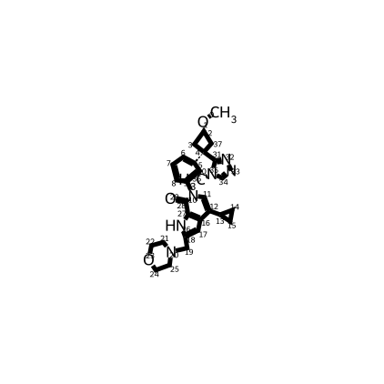 CO[C@H]1C[C@](c2cccc(-n3cc(C4CC4)c4cc(CN5CCOCC5)[nH]c4c3=O)c2)(c2nncn2C)C1